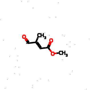 COC(=O)/C=C(\C)[C]=O